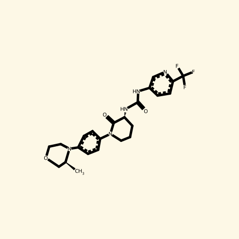 C[C@H]1COCCN1c1ccc(N2CCC[C@@H](NC(=O)Nc3ccc(C(F)(F)F)nc3)C2=O)cc1